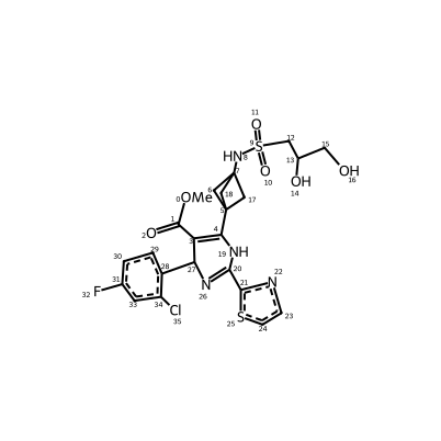 COC(=O)C1=C(C23CC(NS(=O)(=O)CC(O)CO)(C2)C3)NC(c2nccs2)=NC1c1ccc(F)cc1Cl